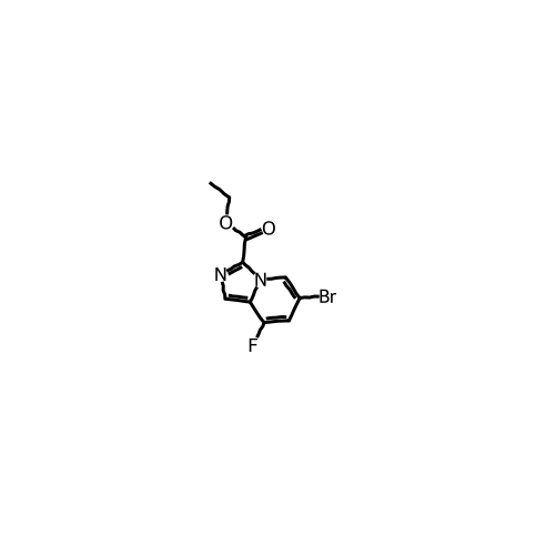 CCOC(=O)c1ncc2c(F)cc(Br)cn12